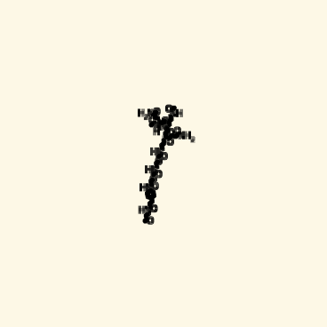 CC(=O)CCNC(=O)CCc1ccc(NC(=O)COCC(=O)NCCOCC(=O)NCCCC[C@H](CC(=O)[C@H](CCCCNC(C)=O)NC(=O)[C@H](CCC(N)=O)NC(C)=O)C(=O)CCC(N)=O)cc1